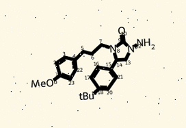 COc1ccc(CCCN2C(=O)N(N)CC2c2ccc(C(C)(C)C)cc2)cc1